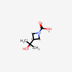 CC(C)(O)C1CN(C(=O)O)C1